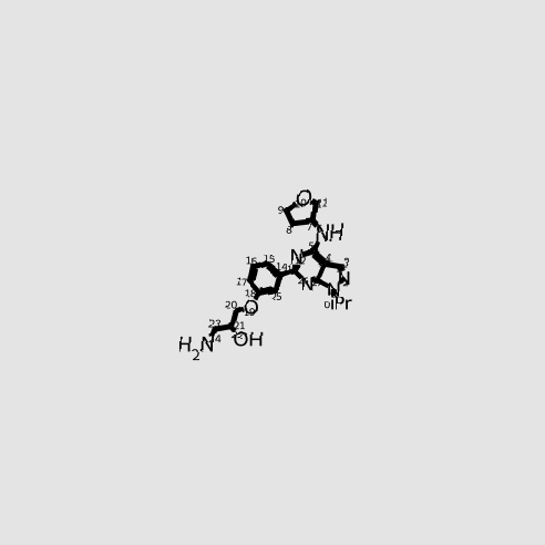 CC(C)n1ncc2c(NC3CCOC3)nc(-c3cccc(OCC(O)CN)c3)nc21